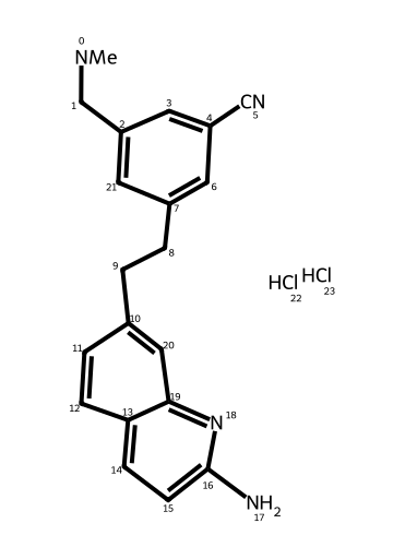 CNCc1cc(C#N)cc(CCc2ccc3ccc(N)nc3c2)c1.Cl.Cl